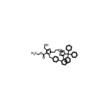 CCCc1nc(CO)c(C(=O)OCC)n1Cc1ccc(-c2ccccc2-c2nnnn2C(c2ccccc2)(c2ccccc2)c2ccccc2)cc1